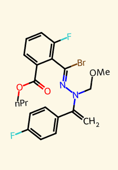 C=C(c1ccc(F)cc1)N(COC)/N=C(\Br)c1c(F)cccc1C(=O)OCCC